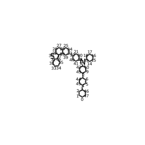 c1ccc(-c2ccc(-c3ccc(N(c4ccccc4)c4ccc(-c5ccc6ccc7sc8ccccc8c7c6c5)cc4)cc3)cc2)cc1